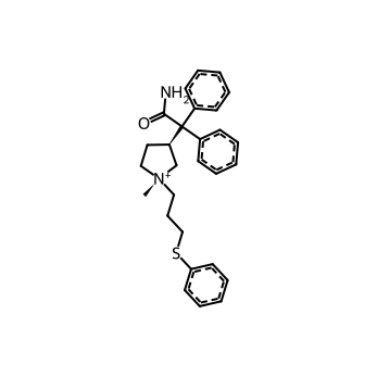 C[N@@+]1(CCCSc2ccccc2)CC[C@@H](C(C(N)=O)(c2ccccc2)c2ccccc2)C1